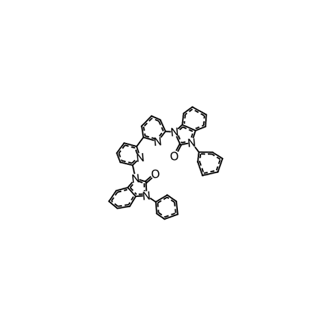 O=c1n(-c2ccccc2)c2ccccc2n1-c1cccc(-c2cccc(-n3c(=O)n(-c4ccccc4)c4ccccc43)n2)n1